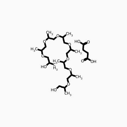 CC(O)COC(C)COC(C)COC(C)COC(C)COC(C)COC(C)COC(C)CO.O=C(O)CCC(=O)O